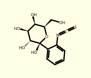 OC[C@H]1O[C@](O)(c2ccccc2N=C=S)[C@H](O)[C@@H](O)[C@H]1O